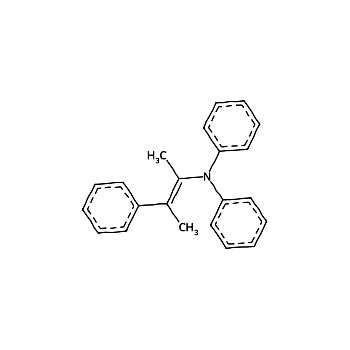 CC(=C(C)N(c1ccccc1)c1ccccc1)c1ccccc1